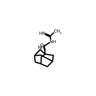 CC(=N)NC(=O)C12CC3CC(CC(C3)C1N)C2